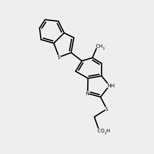 Cc1cc2[nH]c(SCC(=O)O)nc2cc1-c1cc2ccccc2s1